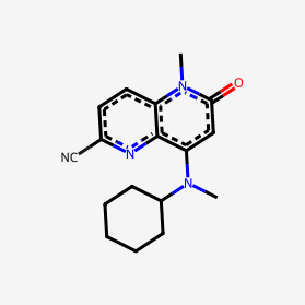 CN(c1cc(=O)n(C)c2ccc(C#N)nc12)C1CCCCC1